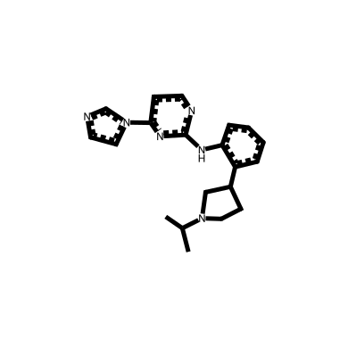 CC(C)N1CCC(c2ccccc2Nc2nccc(-n3ccnc3)n2)C1